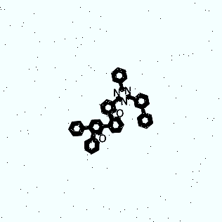 c1ccc(-c2cccc(-c3nc(-c4ccccc4)nc(-c4cccc5c4oc4cccc(-c6ccc(-c7ccccc7)c7c6oc6ccccc67)c45)n3)c2)cc1